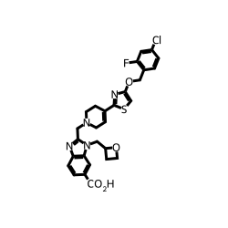 O=C(O)c1ccc2nc(CN3CC=C(c4nc(OCc5ccc(Cl)cc5F)cs4)CC3)n(CC3CCO3)c2c1